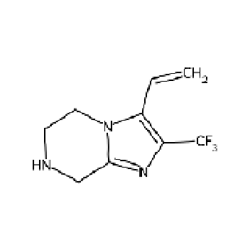 C=Cc1c(C(F)(F)F)nc2n1CCNC2